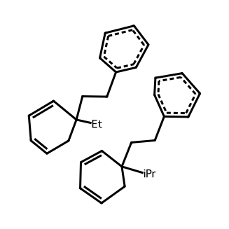 CC(C)C1(CCc2ccccc2)C=CC=CC1.CCC1(CCc2ccccc2)C=CC=CC1